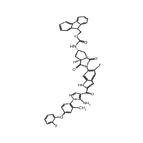 Cc1cc(Oc2ccccc2F)ccc1-n1ncc(C(=O)c2cc3cc(F)c(N4C(=O)[C@@H]5C[C@H](NC(=O)OCC6c7ccccc7-c7ccccc76)CN5C4=O)cc3[nH]2)c1N